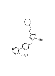 CCCCn1nc(CCC2CCCCC2)nc1Cc1ccc(-c2cnccc2C(=O)O)cc1